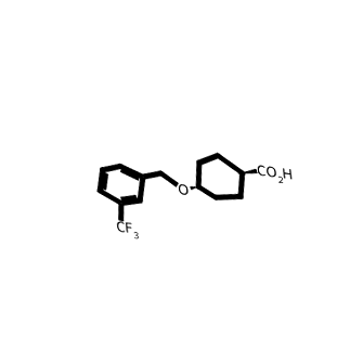 O=C(O)[C@H]1CC[C@H](OCc2cccc(C(F)(F)F)c2)CC1